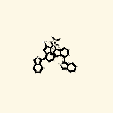 CCC1=Cc2c(-c3scc4ccccc34)cccc2[CH]1[Zr]([Cl])([Cl])([CH]1C(CC)=Cc2c(-c3scc4ccccc34)cccc21)[SiH](C)C